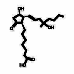 CCCCC(C)(O)CC=C[C@H]1[C@H](O)CC(=O)[C@@H]1CCCCCCC(=O)O